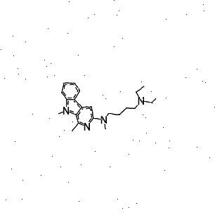 CCN(CC)CCCCN(C)c1cc2c3ccccc3n(C)c2c(C)n1